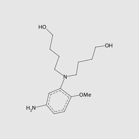 COc1ccc(N)cc1N(CCCCO)CCCCO